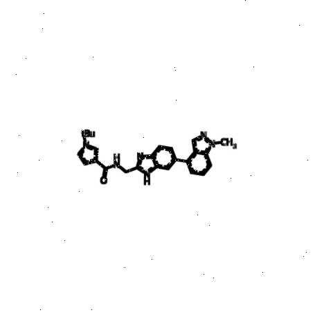 Cn1ncc2c(-c3ccc4nc(CNC(=O)c5ccn(C(C)(C)C)c5)[nH]c4c3)cccc21